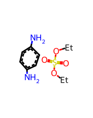 CCOS(=O)(=O)OCC.Nc1ccc(N)cc1